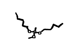 CCCCCO[Si](C)(OC)OCCCCC